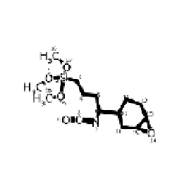 CO[Si](CCCC(N=C=O)C1CCC2OC2C1)(OC)OC